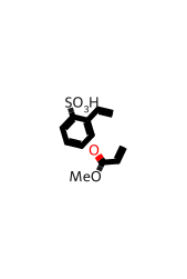 C=CC(=O)OC.C=Cc1ccccc1S(=O)(=O)O